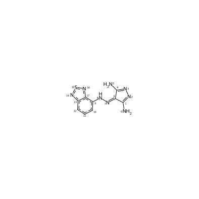 NC1=NN=C(N)C1=NNc1cccc2nsnc12